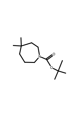 CC1(C)CCCN(C(=O)OC(C)(C)C)CC1